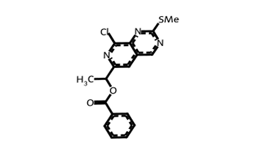 CSc1ncc2cc(C(C)OC(=O)c3ccccc3)nc(Cl)c2n1